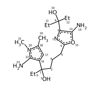 CCC(O)(CCCc1nc(C(O)(CC)CC)c(N)o1)c1cc(C)n(C)c1N